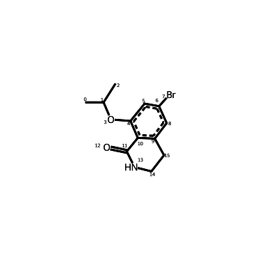 CC(C)Oc1cc(Br)cc2c1C(=O)NCC2